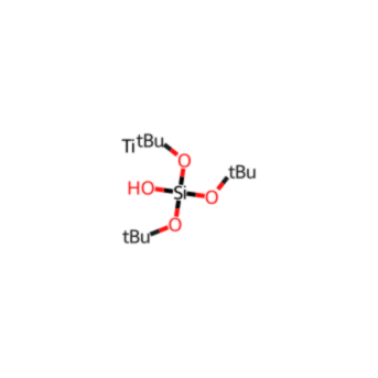 CC(C)(C)O[Si](O)(OC(C)(C)C)OC(C)(C)C.[Ti]